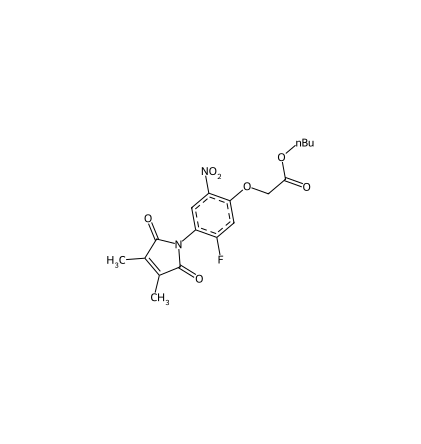 CCCCOC(=O)COc1cc(F)c(N2C(=O)C(C)=C(C)C2=O)cc1[N+](=O)[O-]